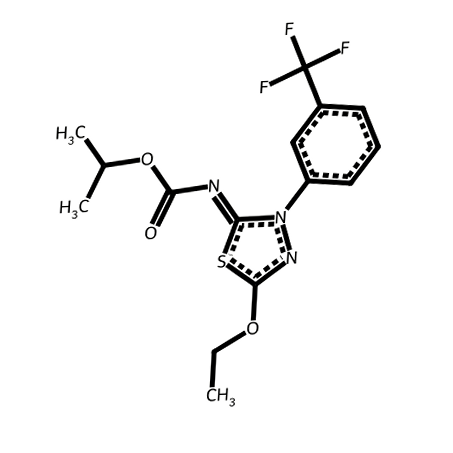 CCOc1nn(-c2cccc(C(F)(F)F)c2)c(=NC(=O)OC(C)C)s1